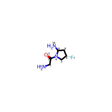 NCC(=O)N1C[C@@H](F)CC1N